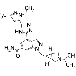 CCn1nc(C)cc1-c1nnc(-c2cc(C(N)=O)cc3c2cnn3CC2[C@H]3CN(C(C)C)C[C@@H]23)[nH]1